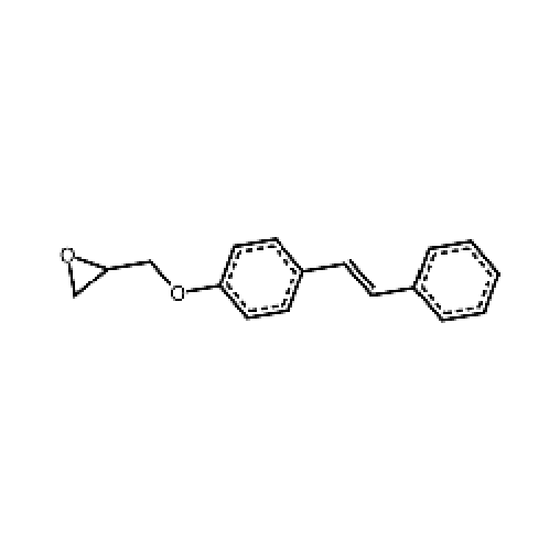 C(=C\c1ccc(OCC2CO2)cc1)/c1ccccc1